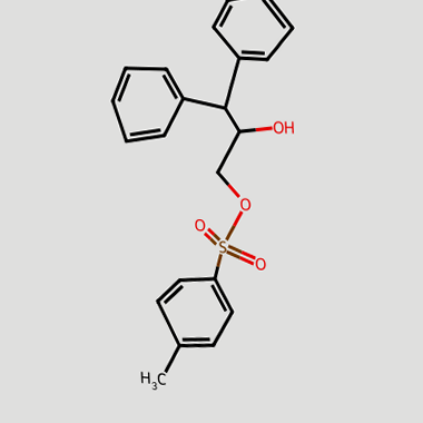 Cc1ccc(S(=O)(=O)OCC(O)C(c2ccccc2)c2ccccc2)cc1